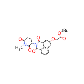 CN1C(=O)CCC(N2C(=O)c3cccc4cc(OCC(=O)OC(C)(C)C)cc(c34)C2=O)C1=O